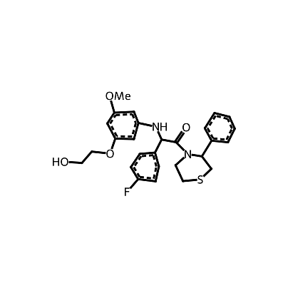 COc1cc(NC(C(=O)N2CCSCC2c2ccccc2)c2ccc(F)cc2)cc(OCCO)c1